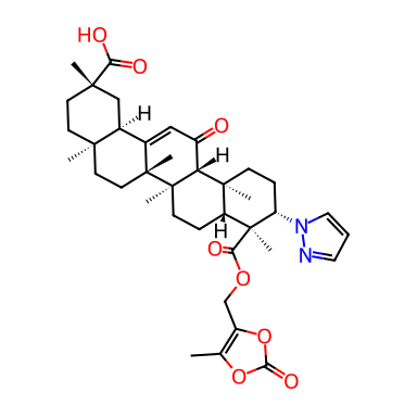 Cc1oc(=O)oc1COC(=O)[C@]1(C)[C@@H](n2cccn2)CC[C@@]2(C)[C@H]1CC[C@]1(C)[C@@H]2C(=O)C=C2[C@@H]3C[C@@](C)(C(=O)O)CC[C@]3(C)CC[C@]21C